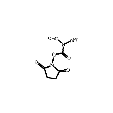 CCCN([C]=O)C(=O)ON1C(=O)CCC1=O